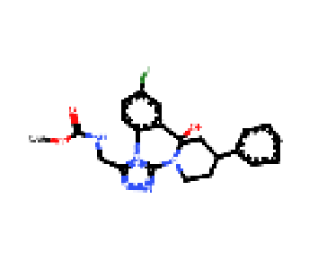 CC(C)(C)OC(=O)NCc1nnc(N2CCC(c3ccccc3)CC2)n1-c1ccc(Cl)cc1CO